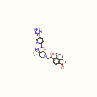 Cc1c(C(O)CN2CCC(C)(NC(=O)c3ccc(-n4cnnn4)cn3)CC2)ccc2c1COC2=O